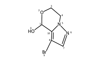 OC1OCCn2ncc(Br)c21